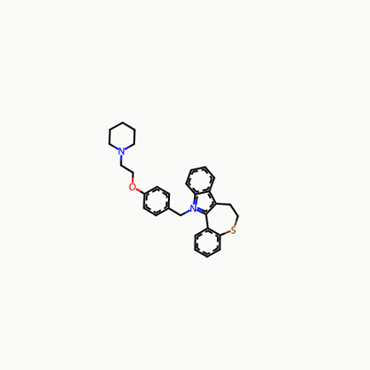 c1ccc2c(c1)SCCc1c-2n(Cc2ccc(OCCN3CCCCC3)cc2)c2ccccc12